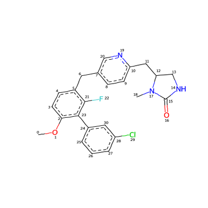 COc1ccc(Cc2ccc(CC3CNC(=O)N3C)nc2)c(F)c1-c1cccc(Cl)c1